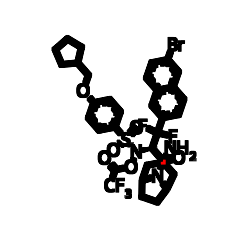 NC1CC2CCC(C1)N2C(=O)[C@@H](N(OC(=O)C(F)(F)F)S(=O)(=O)c1ccc(OCC2CCCC2)cc1)C(F)(F)c1ccc2cc(Br)ccc2c1